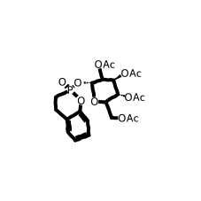 CC(=O)OCC1O[C@H](OP2(=O)CCc3ccccc3O2)C(OC(C)=O)[C@@H](OC(C)=O)[C@@H]1OC(C)=O